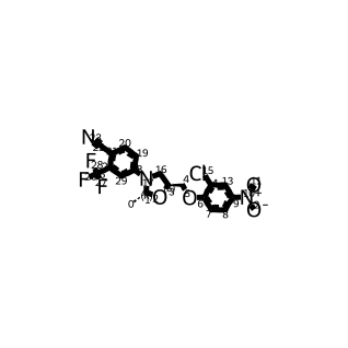 C[C@H]1O[C@H](COc2ccc([N+](=O)[O-])cc2Cl)CN1c1ccc(C#N)c(C(F)(F)F)c1